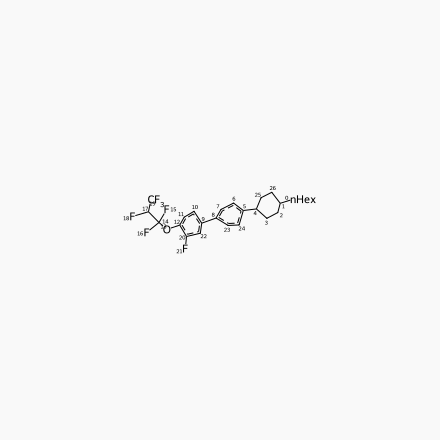 CCCCCCC1CCC(c2ccc(-c3ccc(OC(F)(F)C(F)C(F)(F)F)c(F)c3)cc2)CC1